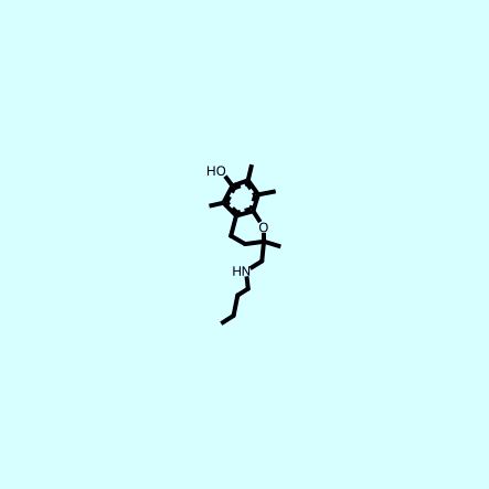 CCCCNCC1(C)CCc2c(C)c(O)c(C)c(C)c2O1